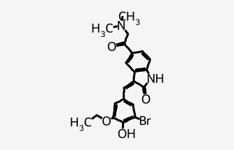 CCOc1cc(/C=C2\C(=O)Nc3ccc(C(=O)CN(C)C)cc32)cc(Br)c1O